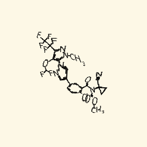 COC(=O)N(C(=O)c1cc(-c2cnn(-c3c(OC(F)F)c(C(F)(F)C(F)(F)F)nn3C)c2)ccc1Cl)C1(C#N)CC1